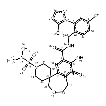 Cc1ncnn1-c1cc(F)ccc1CNC(=O)c1nc2n(c(=O)c1O)CCOCC21CCN(S(=O)(=O)N(C)C)CC1